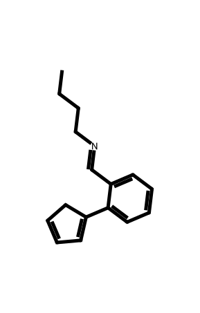 CCCCN=Cc1ccccc1C1=CC=CC1